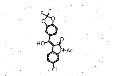 CC(=O)N1C(=O)C(=C(O)c2ccc3c(c2)OC(F)(F)O3)c2ccc(Cl)cc21